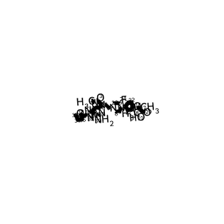 Cn1c(=O)n(CCN2CCN(c3ccc(OC(C)(C)C(=O)O)cc3F)CC2)c2nc(N)n3nc(-c4ccco4)nc3c21